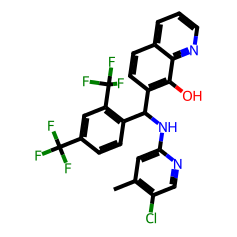 Cc1cc(NC(c2ccc(C(F)(F)F)cc2C(F)(F)F)c2ccc3cccnc3c2O)ncc1Cl